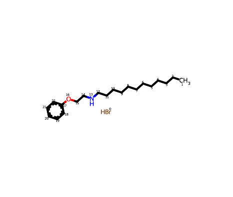 Br.CCCCCCCCCCCCNCCOc1ccccc1